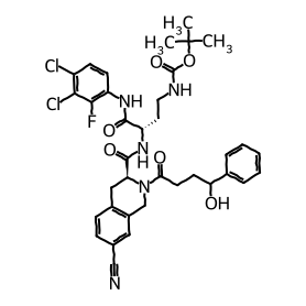 CC(C)(C)OC(=O)NCC[C@H](NC(=O)[C@@H]1Cc2ccc(C#N)cc2CN1C(=O)CCC(O)c1ccccc1)C(=O)Nc1ccc(Cl)c(Cl)c1F